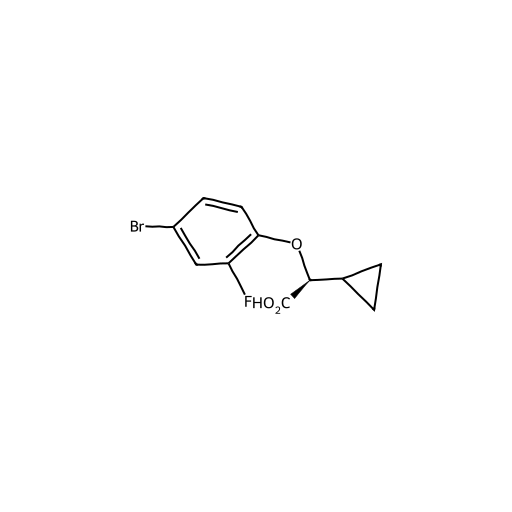 O=C(O)[C@@H](Oc1ccc(Br)cc1F)C1CC1